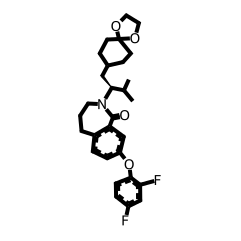 CC(C)[C@H](CC1CCC2(CC1)OCCO2)N1CCCc2ccc(Oc3ccc(F)cc3F)cc2C1=O